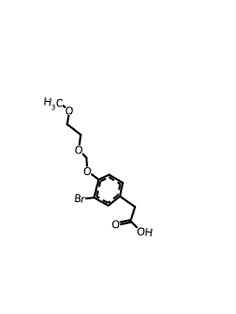 COCCOCOc1ccc(CC(=O)O)cc1Br